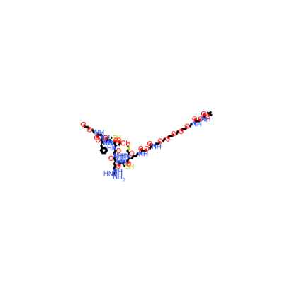 COCCOCCNC(=O)[C@H](C)NC(=O)[C@H](Cc1ccccc1)NC(=O)[C@H](CS)NC(=O)[C@H](CC(=O)O)NC(=O)CNC(=O)[C@H](CCCNC(=N)N)NC(=O)[C@H](CS)NC(=O)[C@H](CCCCNC(=O)COCC(=O)NCCOCCOCCOCCOCCOCCNC(=O)CONC(=O)OC(C)(C)C)NC(=O)CSC